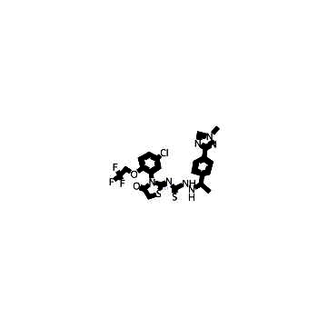 CC(NNC(=S)/N=C1\SCC(=O)N1c1cc(Cl)ccc1OCC(F)(F)F)c1ccc(-c2ncn(C)n2)cc1